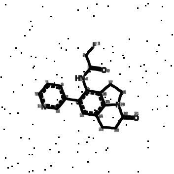 O=C(CF)Nc1c(-c2cccnc2)cc2c3c1CCN3C(=O)CC2